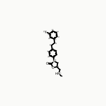 CNCC1CN(c2ccc(CCc3cccc(F)c3)cc2)C(=O)O1